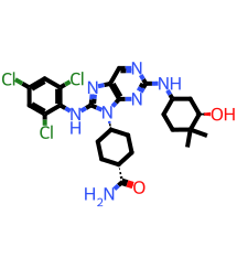 CC1(C)CCC(Nc2ncc3nc(Nc4c(Cl)cc(Cl)cc4Cl)n([C@H]4CC[C@@H](C(N)=O)CC4)c3n2)C[C@H]1O